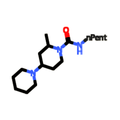 CCCCCNC(=O)N1CCC(N2CCCCC2)CC1C